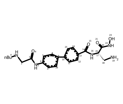 CCCCNCC(=O)Nc1ccc(-c2ccc(C(=O)N[C@@H](CN)C(=O)NO)cc2)cc1